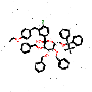 CCOc1ccc(Cc2cc(C3(O)O[C@H](CO[Si](c4ccccc4)(c4ccccc4)C(C)(C)C)[C@@H](OCc4ccccc4)[C@H](OCc4ccccc4)[C@H]3OCc3ccccc3)ccc2Cl)cc1